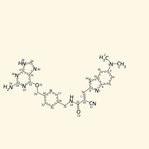 CN(C)c1ccc2nc(/C=C(\C#N)C(=O)NCc3ccc(COc4nc(N)nc5[nH]cnc45)cc3)sc2c1